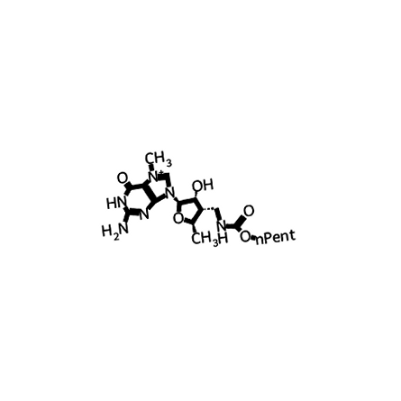 CCCCCOC(=O)NC[C@H]1[C@@H](O)[C@H](n2c[n+](C)c3c(=O)[nH]c(N)nc32)O[C@@H]1C